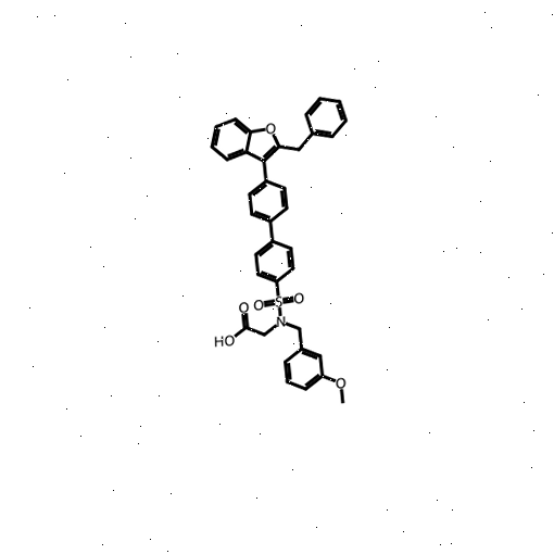 COc1cccc(CN(CC(=O)O)S(=O)(=O)c2ccc(-c3ccc(-c4c(Cc5ccccc5)oc5ccccc45)cc3)cc2)c1